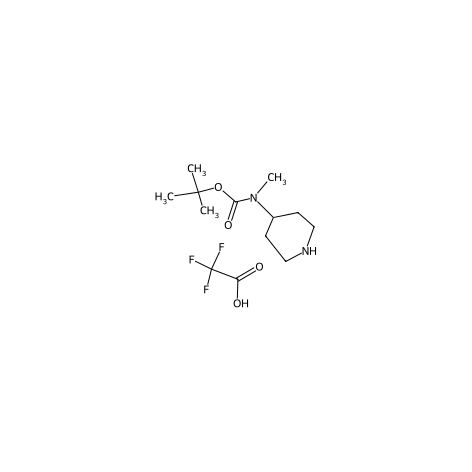 CN(C(=O)OC(C)(C)C)C1CCNCC1.O=C(O)C(F)(F)F